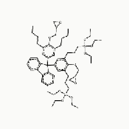 CCCCc1cc(C2(c3cc(CCC[Si](OCC)(OCC)OCC)c(OCC4CO4)c(CCC[Si](OCC)(OCC)OCC)c3)c3ccccc3-c3ccccc32)cc(CCCC)c1OCC1CO1